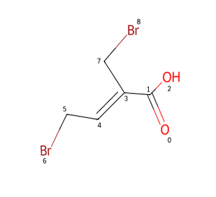 O=C(O)C(=CCBr)CBr